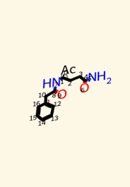 CC(=O)[C@H](CCC(N)=O)NC(=O)Cc1ccccc1